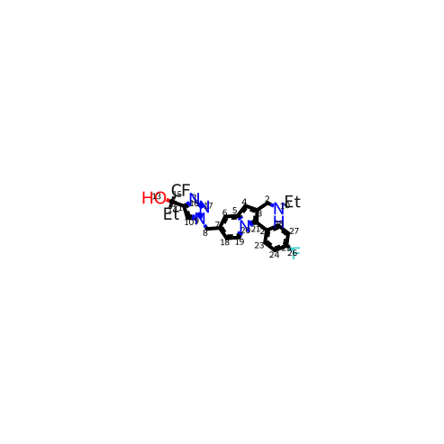 CCNCc1cc2cc(Cn3cc(C(O)(CC)C(F)(F)F)nn3)ccn2c1-c1ccc(F)cc1